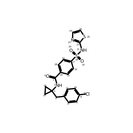 O=C(NC1(Cc2ccc(Cl)cc2)CC1)c1ccc(S(=O)(=O)Nc2nccs2)cc1